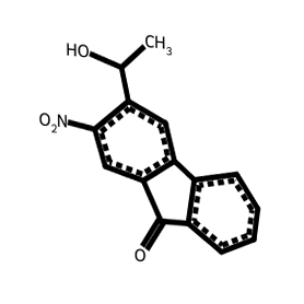 CC(O)c1cc2c(cc1[N+](=O)[O-])C(=O)c1ccccc1-2